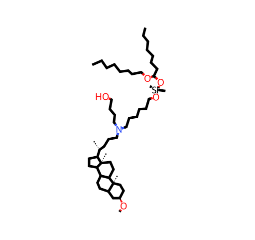 CCCCCCCCOC(CCCCCCC)O[Si](C)(C)OCCCCCCN(CCCCO)CCC[C@@H](C)C1CCC2C3CCC4C[C@H](OC)CC[C@]4(C)C3CC[C@@]21C